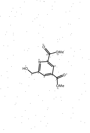 COC(=O)c1cc(CO)nc(C(=O)OC)c1